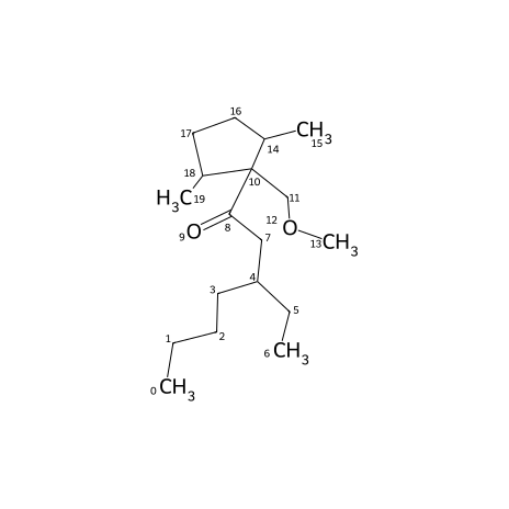 CCCCC(CC)CC(=O)C1(COC)C(C)CCC1C